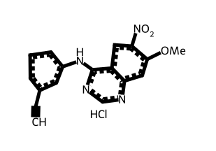 C#Cc1cccc(Nc2ncnc3cc(OC)c([N+](=O)[O-])cc23)c1.Cl